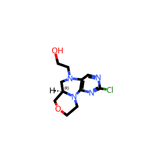 OCCN1C[C@@H]2COCCN2c2nc(Cl)ncc21